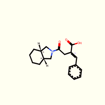 O=C(O)/C(=C/c1ccccc1)CC(=O)N1C[C@H]2CCCC[C@H]2C1